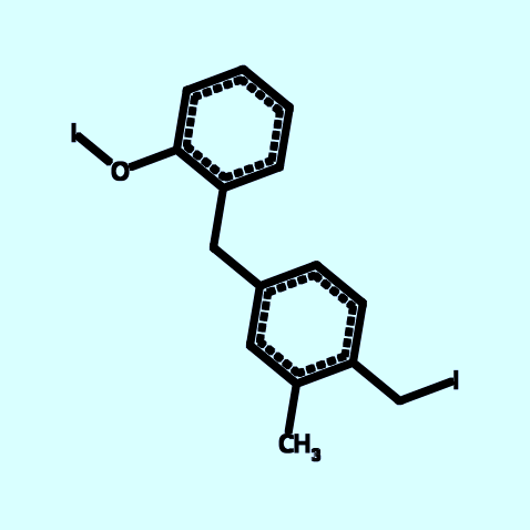 Cc1cc(Cc2ccccc2OI)ccc1CI